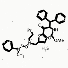 COC(=O)NC(C(=O)c1ccc(CN(CCC(C)C)OSN(C)c2ccccc2)s1)C(c1ccccc1)c1ccccc1.S